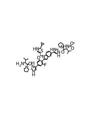 COC(=O)N[C@H](C(=O)N1CCC[C@H]1C1NC=C(c2ccc3c(c2)cc2n3[C@H](C3=CNC(C4CC4)S3)Oc3cc(C4=CNC([C@@H]5CCCN5C(=O)[C@@H](N)C(C)C)N4)cc(F)c3-2)N1)C(C)C